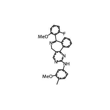 COc1cc(Nc2ncc3c(n2)-c2ccccc2C(c2c(F)cccc2OC)=NC3)ccc1C